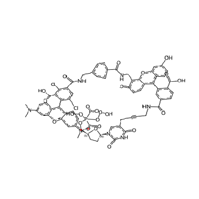 CN(C)c1ccc2c(-c3c(Cl)cc(C(=O)NCc4ccc(C(=O)NCc5c6oc7cc(O)ccc7c(-c7cc(C(=O)NCC#CCc8cn([C@H]9CC[C@@H](COP(OO)(OOO)(P(=O)=O)P(=O)=O)O9)c(=O)[nH]c8=O)ccc7C(=O)O)c-6ccc5=O)cc4)c(Cl)c3C(=O)O)c3ccc(=[N+](C)C)cc-3oc2c1